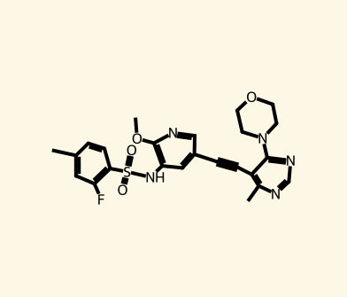 COc1ncc(C#Cc2c(C)ncnc2N2CCOCC2)cc1NS(=O)(=O)c1ccc(C)cc1F